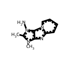 Cc1n(C)c2nc3ccccn3c2[n+]1N